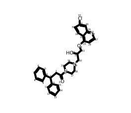 O=C(CC(c1ccccc1)c1ccccc1)N1CCN(CC(O)COc2ccnc3cc(Cl)ccc23)CC1